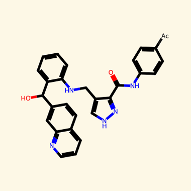 CC(=O)c1ccc(NC(=O)c2n[nH]cc2CNc2ccccc2C(O)c2ccc3cccnc3c2)cc1